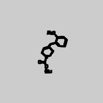 COc1ccccc1CC1=CCN(C(=O)OC(C)(C)C)CC1